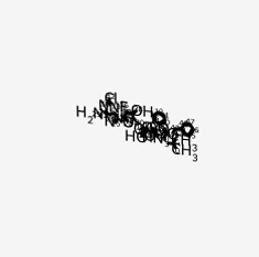 CC(C)C[C@H](NP(=O)(Oc1ccccc1)OP(=O)(O)OC[C@H]1O[C@@H](n2cnc3c(N)nc(Cl)nc32)[C@H](F)C1O)C(=O)OCc1ccccc1